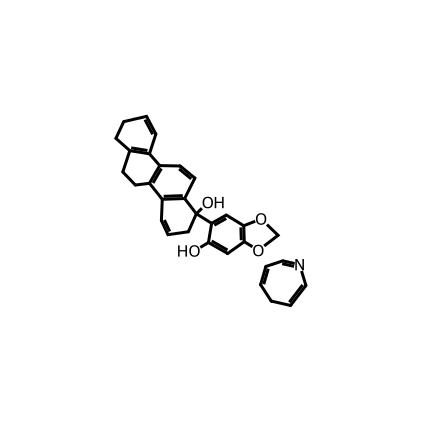 C1=CCC=CN=C1.Oc1cc2c(cc1C1(O)CC=Cc3c1ccc1c3CCC3=C1C=CCC3)OCO2